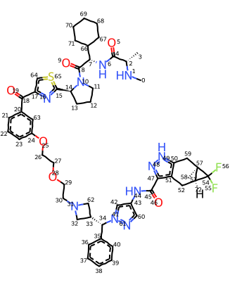 CN[C@@H](C)C(=O)N[C@H](C(=O)N1CCC[C@H]1c1nc(C(=O)c2cccc(OCCOCCN3CC([C@@H](c4ccccc4)n4cc(NC(=O)c5n[nH]c6c5C[C@@H]5C(F)(F)[C@]5(C)C6)cn4)C3)c2)cs1)C1CCCCC1